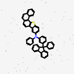 c1ccc(N(c2cccc(C3(c4ccccc4)c4ccccc4-c4ccccc43)c2)c2ccc3sc4c(ccc5ccc6ccccc6c54)c3c2)cc1